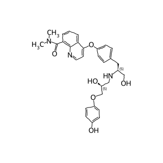 CN(C)C(=O)c1cccc2c(Oc3ccc(C[C@@H](CO)NC[C@H](O)COc4ccc(O)cc4)cc3)ccnc12